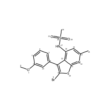 COc1cccc(-c2c(Br)sc3nc(C)cc(NS(C)(=O)=O)c23)c1